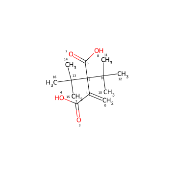 C=C(C(=O)O)C(C(=O)O)(C(C)(C)C)C(C)(C)C